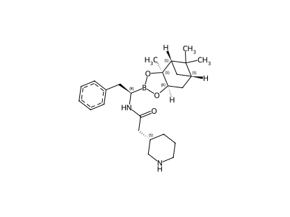 CC1(C)[C@@H]2C[C@H]3OB([C@H](Cc4ccccc4)NC(=O)C[C@@H]4CCCNC4)O[C@@]3(C)[C@H]1C2